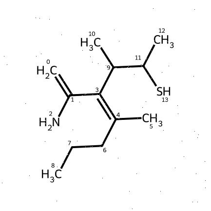 C=C(N)/C(=C(/C)CCC)C(C)C(C)S